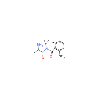 Cc1cccc([N+](=O)[O-])c1C(=O)N(C(=O)C(C)N)C1CC1